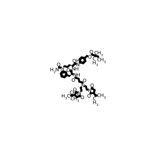 CCC(C)(C)C(=O)OCc1ccc(NC(=O)[C@H](CCCNC(N)=O)NC(=O)[C@H](Cc2ccccc2)NC(=O)CCC(=O)N(CCN2C(=O)CC(C(C)C)C2=O)CCN2C(=O)CC(C(C)(C)C)C2=O)cc1